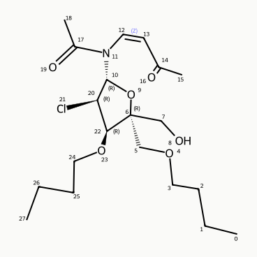 CCCCOC[C@@]1(CO)O[C@@H](N(/C=C\C(C)=O)C(C)=O)[C@H](Cl)[C@@H]1OCCCC